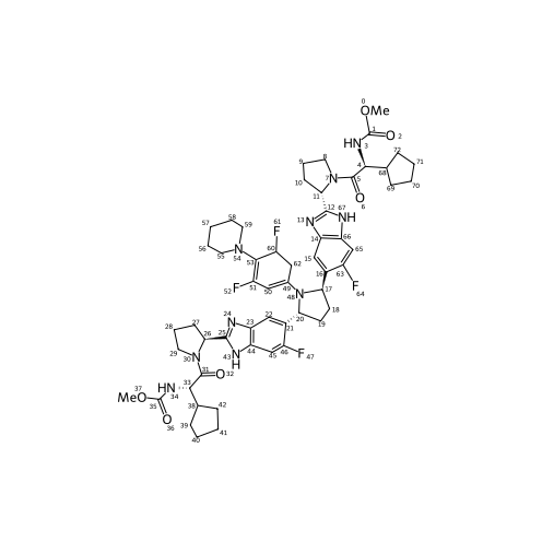 COC(=O)N[C@H](C(=O)N1CCC[C@H]1c1nc2cc([C@H]3CC[C@H](c4cc5nc([C@@H]6CCCN6C(=O)[C@@H](NC(=O)OC)C6CCCC6)[nH]c5cc4F)N3C3=CC(F)=C(N4CCCCC4)C(F)C3)c(F)cc2[nH]1)C1CCCC1